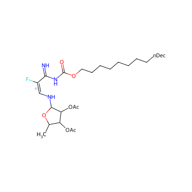 CCCCCCCCCCCCCCCCCCOC(=O)NC(=N)/C(F)=C\NC1OC(C)C(OC(C)=O)C1OC(C)=O